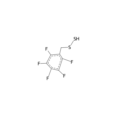 Fc1c(F)c(F)c(CSS)c(F)c1F